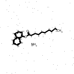 CCCCCCCCCC(=O)Oc1cccc2ccccc12.N